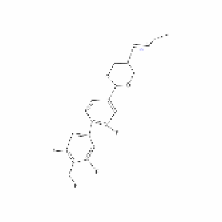 CC/C=C/C1COC(c2ccc(-c3cc(F)c(CF)c(F)c3)c(F)c2)OC1